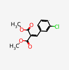 COC(=O)C(=Cc1cc[c]c(Cl)c1)C(=O)OC